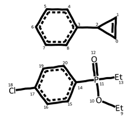 C1=CC1c1ccccc1.CCOP(=O)(CC)c1ccc(Cl)cc1